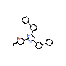 C=C(/C=C\C(Br)=C/C)c1nc(-c2cccc(-c3ccccc3)c2)cc(-c2cccc(-c3ccccc3)c2)n1